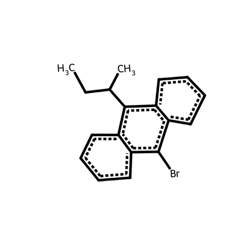 CCC(C)c1c2ccccc2c(Br)c2ccccc12